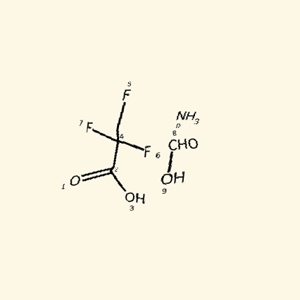 N.O=C(O)C(F)(F)F.O=CO